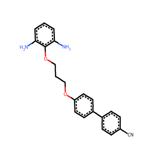 N#Cc1ccc(-c2ccc(OCCCOc3c(N)cccc3N)cc2)cc1